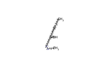 CCCCC/C=C\C/C=C\CCCCCCCCN(CCO)CCCCCCCCOCCCCCCCCC